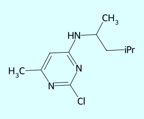 Cc1cc(NC(C)CC(C)C)nc(Cl)n1